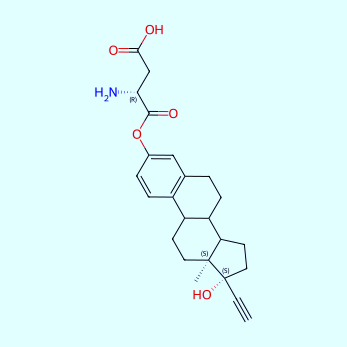 C#C[C@]1(O)CCC2C3CCc4cc(OC(=O)[C@H](N)CC(=O)O)ccc4C3CC[C@@]21C